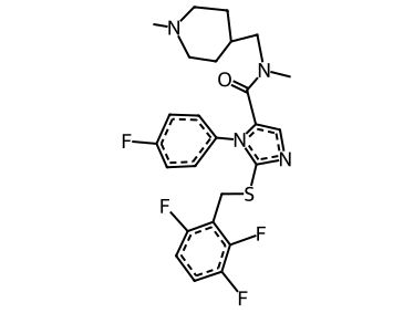 CN1CCC(CN(C)C(=O)c2cnc(SCc3c(F)ccc(F)c3F)n2-c2ccc(F)cc2)CC1